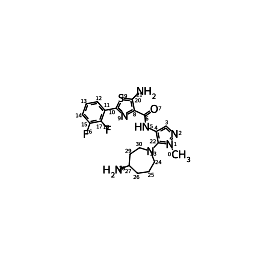 Cn1ncc(NC(=O)c2nc(-c3cccc(F)c3F)sc2N)c1N1CCCC(N)CC1